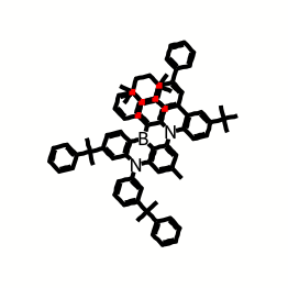 Cc1cc2c3c(c1)N(c1ccc(C(C)(C)C)cc1-c1cc(-c4ccccc4)cc(-c4ccccc4)c1)c1cc4c(cc1B3c1ccc(C(C)(C)c3ccccc3)cc1N2c1cccc(C(C)(C)c2ccccc2)c1)C(C)(C)CCC4(C)C